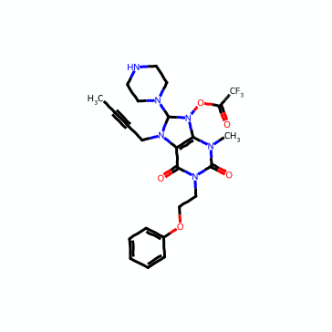 CC#CCN1c2c(n(C)c(=O)n(CCOc3ccccc3)c2=O)N(OC(=O)C(F)(F)F)C1N1CCNCC1